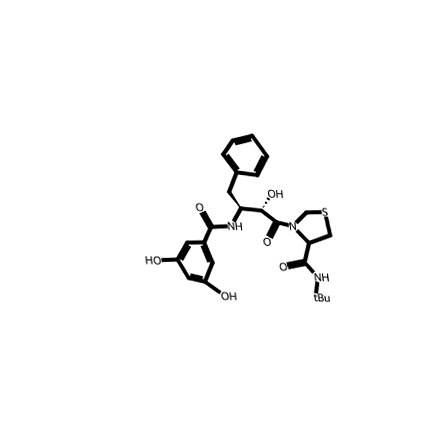 CC(C)(C)NC(=O)C1CSCN1C(=O)[C@@H](O)[C@H](Cc1ccccc1)NC(=O)c1cc(O)cc(O)c1